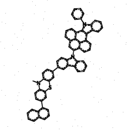 CN1c2ccc(-c3ccc4c(c3)c3ccccc3n4-c3cc4cccc5c4c4c3cccc4c3c4ccccc4n(-c4ccccc4)c53)cc2Sc2cc(-c3cccc4ccccc34)ccc21